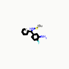 CC(C)(C)SNC(c1ccccc1)c1ccc(F)c(N)c1